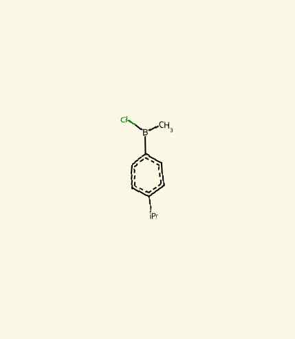 CB(Cl)c1ccc(C(C)C)cc1